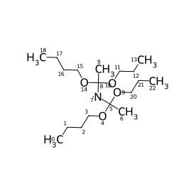 CCCCOC(C)([N]C(C)(OCCC)OCCCC)OCCC